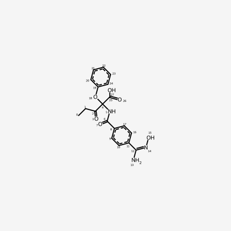 CCC(=O)C(NC(=O)c1ccc(/C(N)=N\O)cc1)(Oc1ccccc1)C(=O)O